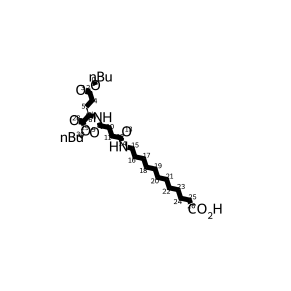 CCCCOC(=O)CC[C@H](NC(=O)CCC(=O)NCCCCCCCCCCCC(=O)O)C(=O)OCCCC